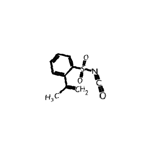 C=C(C)c1ccccc1S(=O)(=O)N=C=O